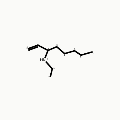 [CH]=CC(CCCCC)NCC